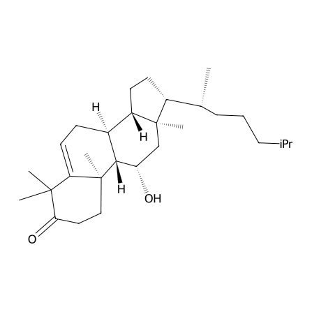 CC(C)CCC[C@@H](C)[C@H]1CC[C@H]2[C@@H]3CC=C4C(C)(C)C(=O)CC[C@]4(C)[C@H]3[C@@H](O)C[C@]12C